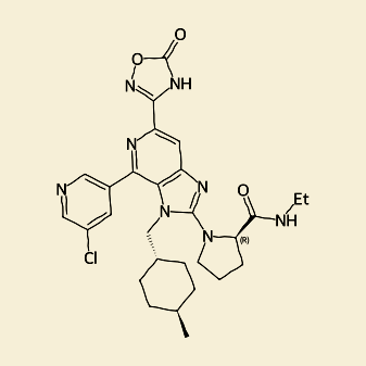 CCNC(=O)[C@H]1CCCN1c1nc2cc(-c3noc(=O)[nH]3)nc(-c3cncc(Cl)c3)c2n1C[C@H]1CC[C@H](C)CC1